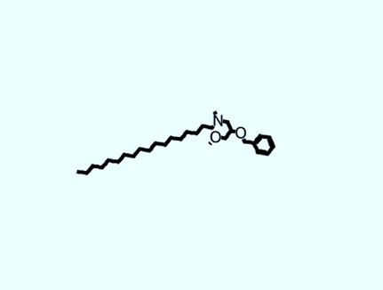 CCCCCCCCCCCCCCCCCCN(C)CC(COC)OCc1ccccc1